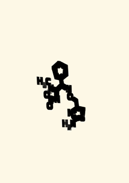 Cn1oc(=O)nc1C(=NOCc1csc(N)n1)c1ccccc1